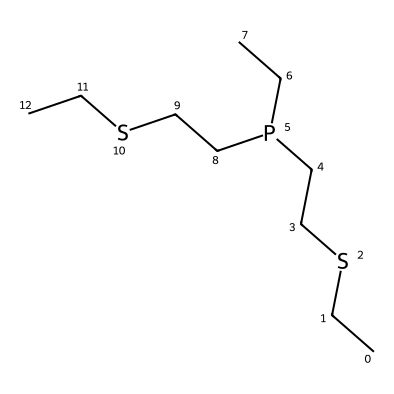 CCSCCP(CC)CCSCC